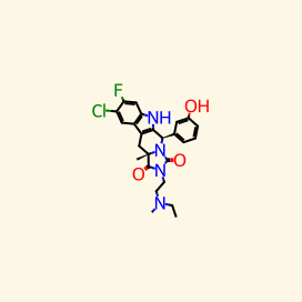 CCN(C)CCN1C(=O)N2[C@H](c3cccc(O)c3)c3[nH]c4cc(F)c(Cl)cc4c3C[C@@]2(C)C1=O